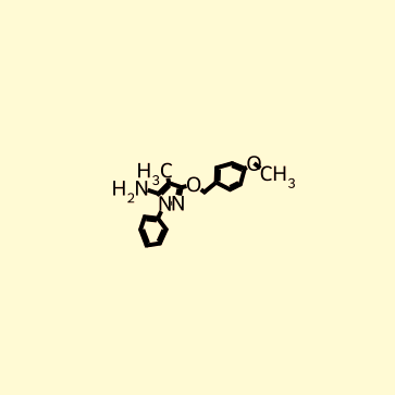 COc1ccc(COc2nn(-c3ccccc3)c(N)c2C)cc1